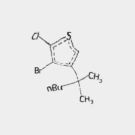 CCCCC(C)(C)c1csc(Cl)c1Br